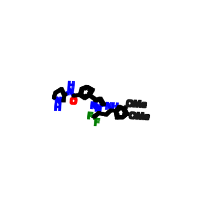 COc1ccc(C2CC(C(F)F)n3nc(-c4cccc(C(=O)NC5CCCNC5)c4)cc3N2)cc1OC